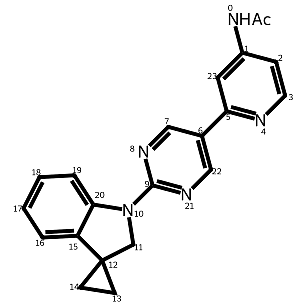 CC(=O)Nc1ccnc(-c2cnc(N3CC4(CC4)c4ccccc43)nc2)c1